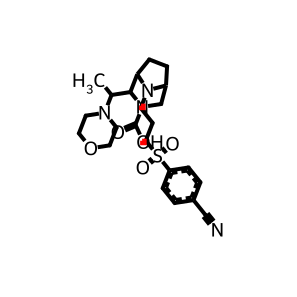 CC(C1C2CCC(CN1C(=O)O)N2CCCS(=O)(=O)c1ccc(C#N)cc1)N1CCOCC1